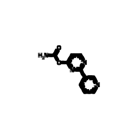 NC(=O)Oc1ccnc(-c2cccnc2)n1